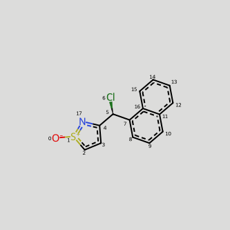 [O-][s+]1ccc([C@@H](Cl)c2cccc3ccccc23)n1